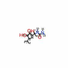 CC(C)[C@@H]1C[C@H](C(C)(C)N(C)C(=O)N(C)C)[C@@H](O)[C@H]1O